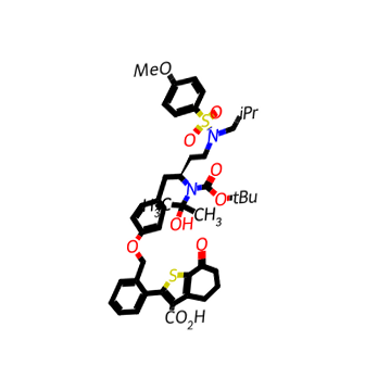 COc1ccc(S(=O)(=O)N(CC[C@H](Cc2ccc(OCc3ccccc3-c3sc4c(c3C(=O)O)CCCC4=O)cc2)N(C(=O)OC(C)(C)C)C(C)(C)O)CC(C)C)cc1